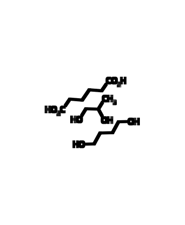 CC(O)CO.O=C(O)CCCCC(=O)O.OCCCCO